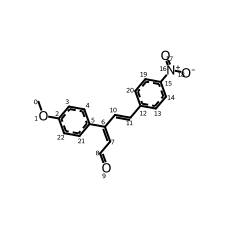 COc1ccc(C(=C\C=O)/C=C/c2ccc([N+](=O)[O-])cc2)cc1